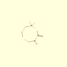 C=C1COCCC(C(F)(F)F)(C(F)(F)F)OC1=O